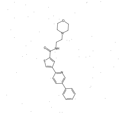 O=C(NCCN1CCOCC1)c1cc(-c2ccc(-c3ccccc3)cn2)cs1